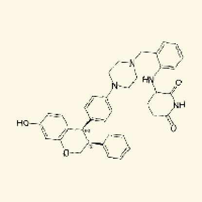 O=C1CCC(Nc2ccccc2CN2CCN(c3ccc([C@@H]4c5ccc(O)cc5OC[C@@H]4c4ccccc4)cc3)CC2)C(=O)N1